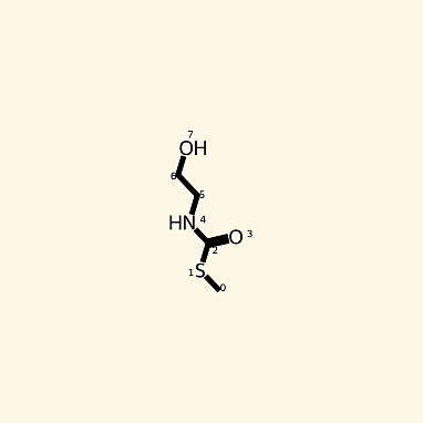 CSC(=O)NCCO